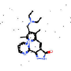 CCN(CC)Cc1c(C)[nH]c(/C=C2/C(=O)NN=C2c2ncccn2)c1C